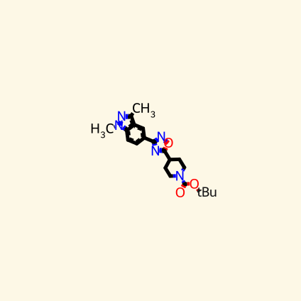 Cc1nn(C)c2ccc(-c3noc(C4CCN(C(=O)OC(C)(C)C)CC4)n3)cc12